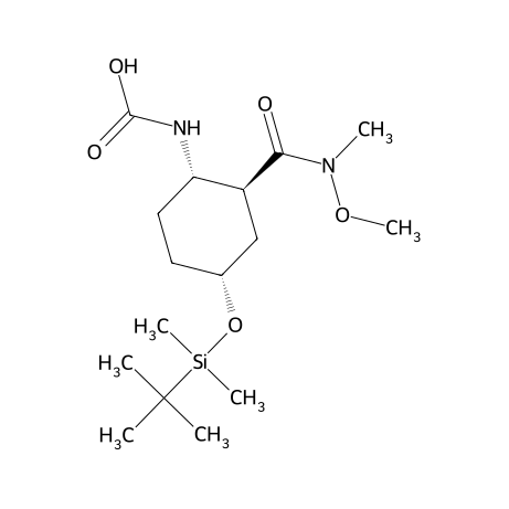 CON(C)C(=O)[C@H]1C[C@H](O[Si](C)(C)C(C)(C)C)CC[C@@H]1NC(=O)O